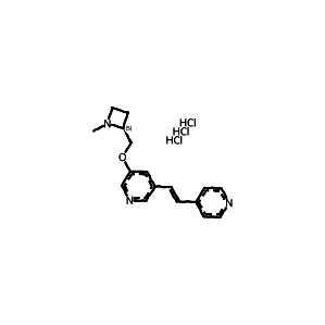 CN1CC[C@H]1COc1cncc(C=Cc2ccncc2)c1.Cl.Cl.Cl